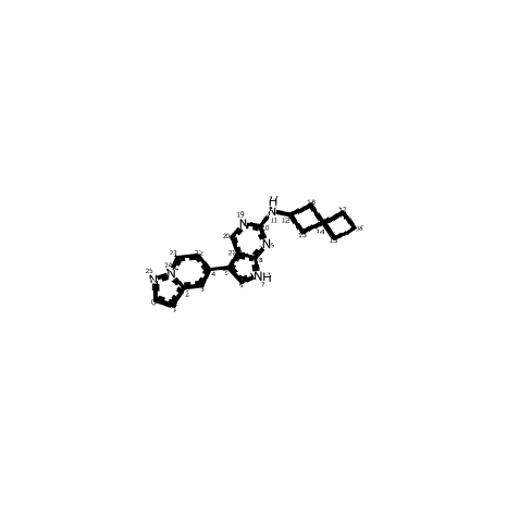 c1cc2cc(-c3c[nH]c4nc(NC5CC6(CCC6)C5)ncc34)ccn2n1